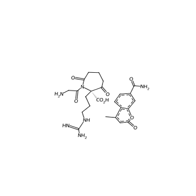 Cc1cc(=O)oc2cc(C(N)=O)ccc12.N=C(N)NCCC[C@]1(C(=O)O)C(=O)CCCC(=O)N1C(=O)CN